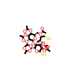 CC(=O)OC[C@H]1O[C@H](O[C@]2(CCCCS)[C@@H](COC(C)=O)O[C@@H](S)[C@](O)(OC(C)=O)[C@@]2(O)OC(C)=O)[C@H](OC(C)=O)[C@@H](OC(C)=O)[C@@H]1OC(C)=O